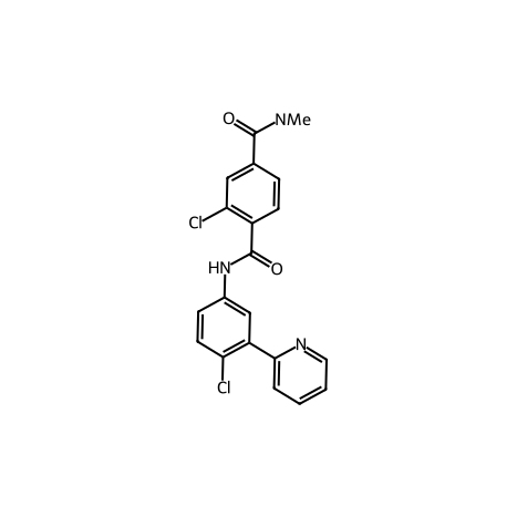 CNC(=O)c1ccc(C(=O)Nc2ccc(Cl)c(-c3ccccn3)c2)c(Cl)c1